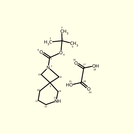 CC(C)(C)OC(=O)N1CC2(CCCNC2)C1.O=C(O)C(=O)O